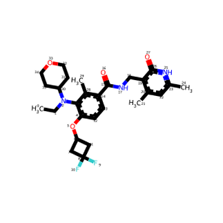 CCN(c1c(OC2CC(F)(F)C2)ccc(C(=O)NCc2c(C)cc(C)[nH]c2=O)c1C)C1CCOCC1